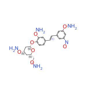 NOC[C@@H]1C[C@H](ON)C[C@H](Oc2ccc(/C=C/c3cc(N=O)cc(ON)c3)cc2ON)O1